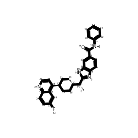 C[C@@H](c1nc2ccc(C(=O)Nc3ccccc3)cc2[nH]1)[C@H]1CC[C@H](c2ccnc3ccc(F)cc32)CC1